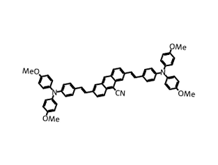 COc1ccc(N(c2ccc(C=Cc3ccc4c(C#N)c5cc(C=Cc6ccc(N(c7ccc(OC)cc7)c7ccc(OC)cc7)cc6)ccc5cc4c3)cc2)c2ccc(OC)cc2)cc1